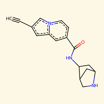 C#Cc1cc2cc(C(=O)NC3CC4CC3CN4)ccn2c1